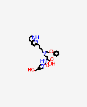 O=C(O)C(CCN(CCCCc1ccc2c(n1)NCCC2)CCOc1ccccc1)NC(=O)N1CC2C(CO)C2C1